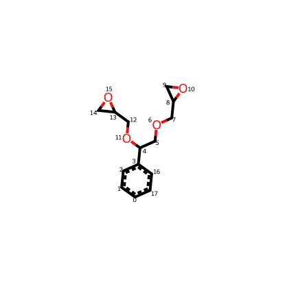 c1ccc(C(COCC2CO2)OCC2CO2)cc1